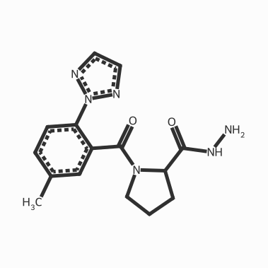 Cc1ccc(-n2nccn2)c(C(=O)N2CCCC2C(=O)NN)c1